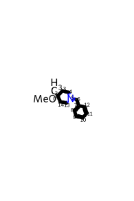 COC1(C)CCN(Cc2ccccc2)CC1